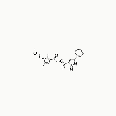 COCCn1c(C)cc(C(=O)COC(=O)c2cc(-c3ccccc3)n[nH]2)c1C